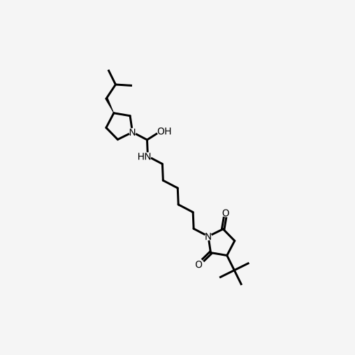 CC(C)C[C@@H]1CCN(C(O)NCCCCCCN2C(=O)CC(C(C)(C)C)C2=O)C1